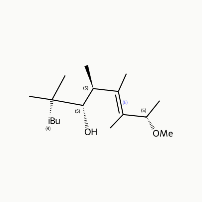 CC[C@@H](C)C(C)(C)[C@@H](O)[C@@H](C)/C(C)=C(\C)[C@H](C)OC